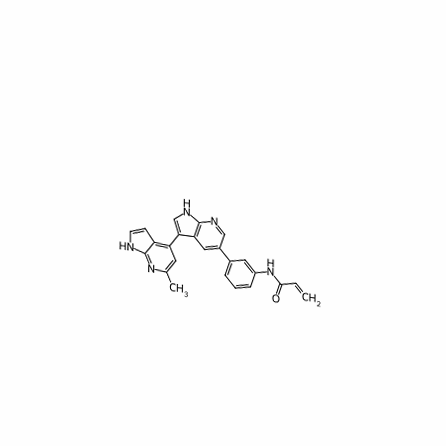 C=CC(=O)Nc1cccc(-c2cnc3[nH]cc(-c4cc(C)nc5[nH]ccc45)c3c2)c1